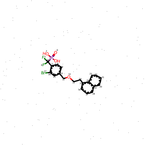 O=P(O)(O)C(F)(F)c1ccc(COCCc2cccc3ccccc23)cc1Br